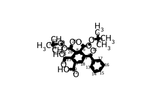 CC(C)(C)OOC(=O)c1c(C(=O)c2ccccc2)cc(C(=O)O)c(C(=O)O)c1C(=O)OOC(C)(C)C